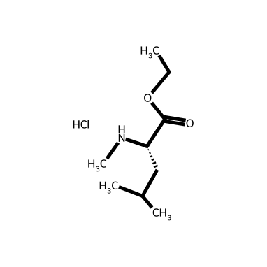 CCOC(=O)[C@H](CC(C)C)NC.Cl